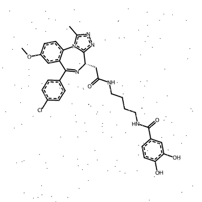 COc1ccc2c(c1)C(c1ccc(Cl)cc1)=N[C@@H](CC(=O)NCCCCNC(=O)c1ccc(O)c(O)c1)c1nnc(C)n1-2